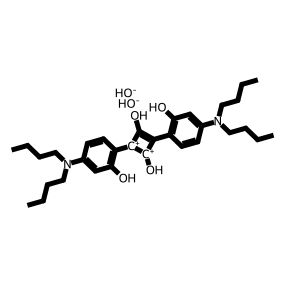 CCCCN(CCCC)c1ccc(-c2c(O)[c+](-c3ccc(N(CCCC)CCCC)cc3O)[c+]2O)c(O)c1.[OH-].[OH-]